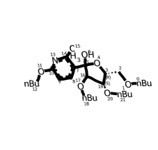 CCCCOC[C@H]1OC(O)(c2ccc(OCCCC)nc2C)C(OCCCC)[C@H]1OCCCC